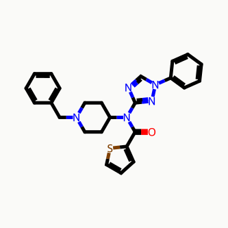 O=C(c1cccs1)N(c1ncn(-c2ccccc2)n1)C1CCN(Cc2ccccc2)CC1